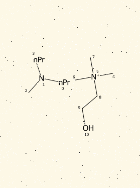 CCCN(C)CCC.C[N+](C)(C)CCO